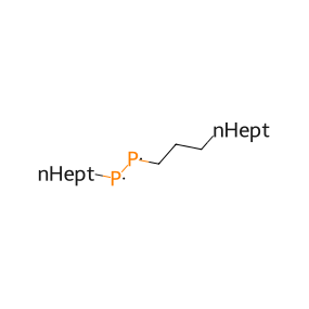 CCCCCCCCCC[P][P]CCCCCCC